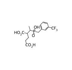 CC(C(CCC(=O)O)C(=O)O)P(=O)(O)Cc1cccc(C(F)(F)F)c1